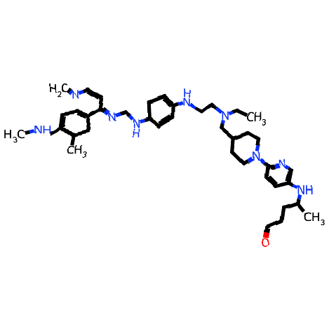 C=N/C=C\C(=N/CNC1C=CC(NCCN(CC)CC2CCN(c3ccc(NC(C)CCC=O)cn3)CC2)=CC1)C1=CC=C(CNC)C(C)C1